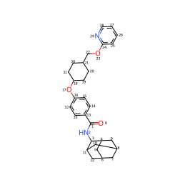 O=C(NC1C2CC3CC(C2)CC1C3)c1ccc(OC2CCC(COc3ccccn3)CC2)cc1